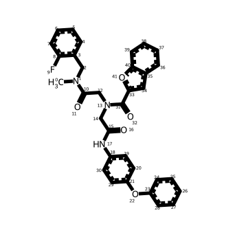 CN(Cc1ccccc1F)C(=O)CN(CC(=O)Nc1ccc(Oc2ccccc2)cc1)C(=O)c1cc2ccccc2o1